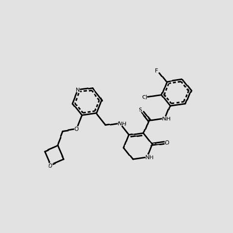 O=C1NCCC(NCc2ccncc2OCC2COC2)=C1C(=S)Nc1cccc(F)c1Cl